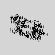 CC(C)(C)c1nn(-c2nc(Nc3cc(C(=O)O)cc(C(=O)O)c3)nc(Nc3cc(C(=O)O)cc(C(=O)O)c3)n2)c(N)c1N=Nc1nnc(CCc2nnc(N=Nc3c(C(C)(C)C)nn(-c4nc(Nc5cc(C(=O)O)cc(C(=O)O)c5)nc(Nc5cc(C(=O)O)cc(C(=O)O)c5)n4)c3N)s2)s1